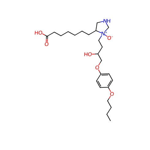 CCCCOc1ccc(OCC(O)CC[N+]2([O-])CNCC2CCCCCCC(=O)O)cc1